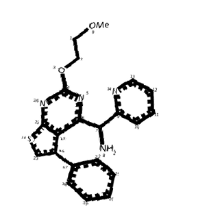 COCCOc1nc(C(N)c2ccccn2)c2c(-c3ccccc3)csc2n1